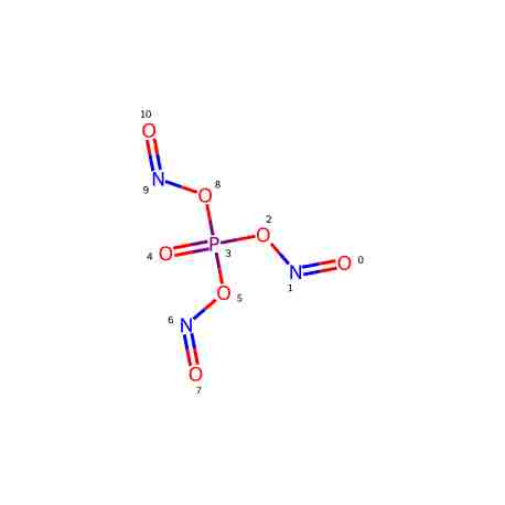 O=NOP(=O)(ON=O)ON=O